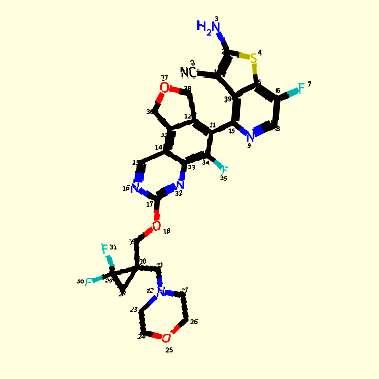 N#Cc1c(N)sc2c(F)cnc(-c3c4c(c5cnc(OCC6(CN7CCOCC7)CC6(F)F)nc5c3F)COC4)c12